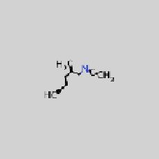 C#CCCC(=C)CN=C=C